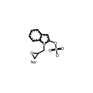 O=S(=O)([O-])Oc1cc2ccccc2n1CC1CO1.[Na+]